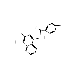 CCc1ccc(C(=O)Nc2cc(Br)c(O)c3ccccc23)cc1